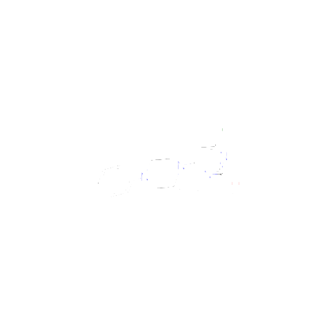 Cn1c(N2CCN(c3ccccc3)CC2)cc(Cl)nc1=O